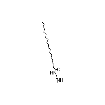 CCCCCCCCCCCCCCCCCCCC(=O)NCCNC